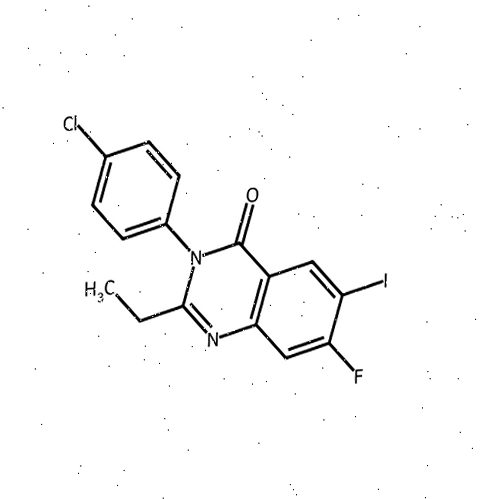 CCc1nc2cc(F)c(I)cc2c(=O)n1-c1ccc(Cl)cc1